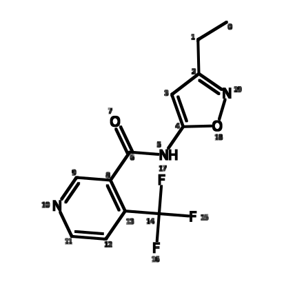 CCc1cc(NC(=O)c2cnccc2C(F)(F)F)on1